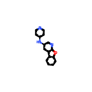 c1ccc2c(c1)oc1ncc(Nc3ccncc3)cc12